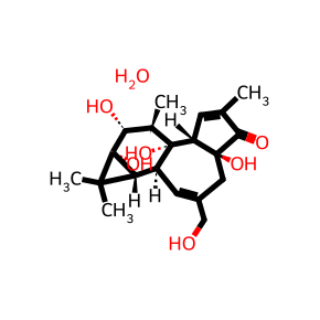 CC1=C[C@H]2[C@]3(O)[C@H](C)[C@@H](O)[C@@]4(O)[C@H]([C@@H]3C=C(CO)C[C@@]2(O)C1=O)C4(C)C.O